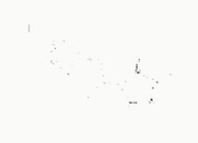 CC1C(=O)N(C)C(=O)C1C(=O)Nc1nnc(C(F)(F)F)s1